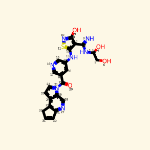 N=C(NC(O)CO)c1c(O)nsc1Nc1cncc(C(=O)n2ccc3c4c(ncc32)C=CC4)c1